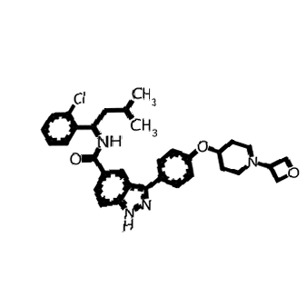 CC(C)CC(NC(=O)c1ccc2[nH]nc(-c3ccc(OC4CCN(C5COC5)CC4)cc3)c2c1)c1ccccc1Cl